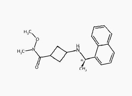 CON(C)C(=O)C1CC(N[C@H](C)c2cccc3ccccc23)C1